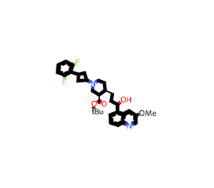 COc1cnc2cccc(C(O)CC[C@@H]3CCN(C4CC(c5c(F)cccc5F)C4)C[C@@H]3C(=O)OC(C)(C)C)c2c1